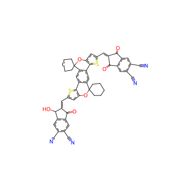 N#Cc1cc2c(cc1C#N)C(=O)C(=Cc1cc3c(s1)-c1cc4c(cc1C1(CCCCC1)O3)-c1sc(/C=C3\C(=O)c5cc(C#N)c(C#N)cc5C3O)cc1OC41CCCCC1)C2=O